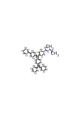 C=C/C(=C\C=C/C)c1ccc(N(c2ccc(-c3ccccc3)cc2)c2ccc(N(c3ccccc3)c3ccccc3)cc2)cc1